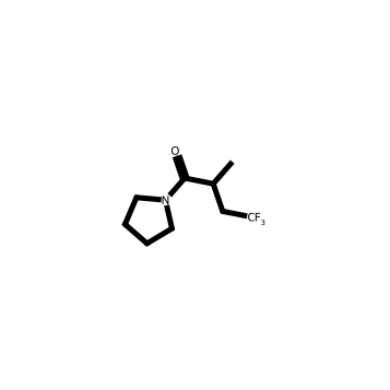 CC(CC(F)(F)F)C(=O)N1CCCC1